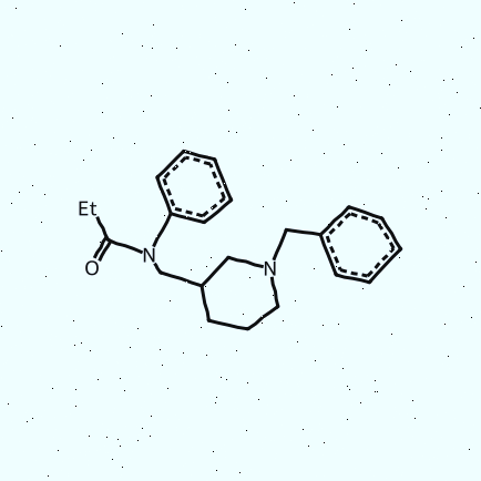 CCC(=O)N(CC1CCCN(Cc2ccccc2)C1)c1ccccc1